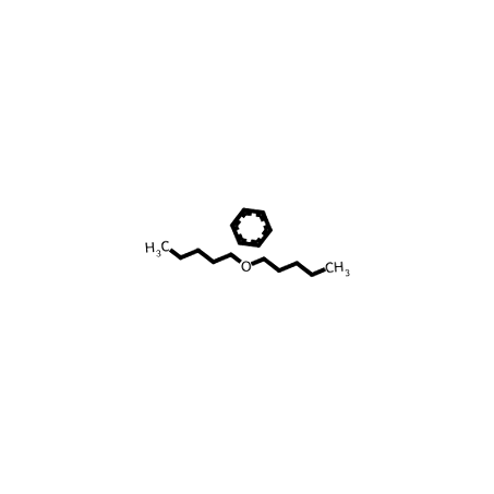 CCCCCOCCCCC.c1ccccc1